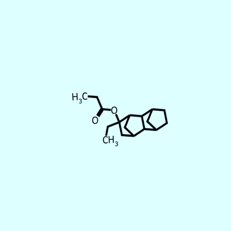 CCC(=O)OC1(CC)CC2CC1C1C3CCC(C3)C21